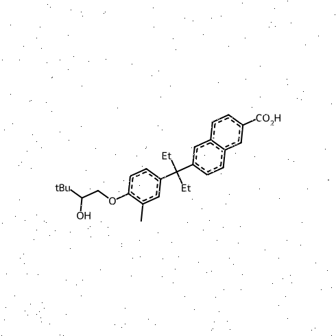 CCC(CC)(c1ccc(OCC(O)C(C)(C)C)c(C)c1)c1ccc2cc(C(=O)O)ccc2c1